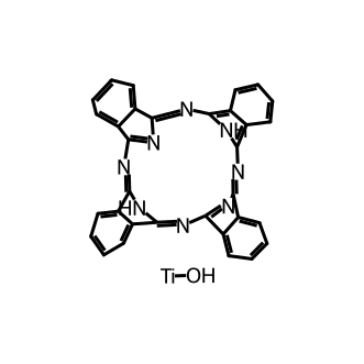 [OH][Ti].c1ccc2c(c1)-c1nc-2nc2[nH]c(nc3nc(nc4[nH]c(n1)c1ccccc41)-c1ccccc1-3)c1ccccc21